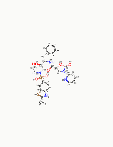 Cc1nc2ccc(S(=O)(=O)N(CC(C)C)C[C@@H](O)[C@H](Cc3ccccc3)NC(=O)[C@@H]3CN(c4ccccn4)C(=O)O3)cc2s1